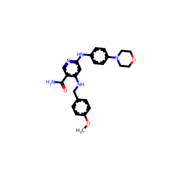 COc1ccc(CNc2cc(Nc3ccc(N4CCOCC4)cc3)ncc2C(N)=O)cc1